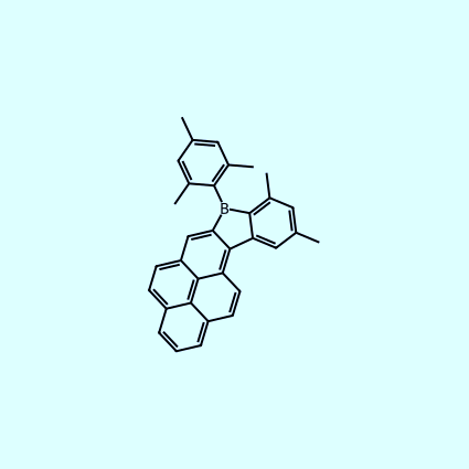 Cc1cc(C)c(B2c3cc4ccc5cccc6ccc(c3-c3cc(C)cc(C)c32)c4c56)c(C)c1